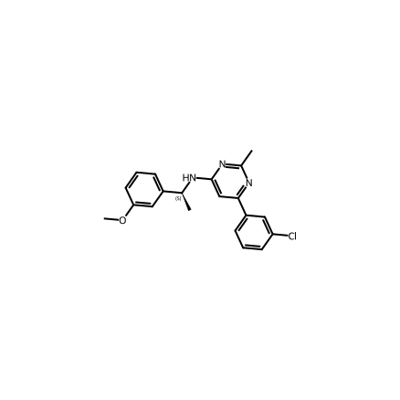 COc1cccc([C@H](C)Nc2cc(-c3cccc(Cl)c3)nc(C)n2)c1